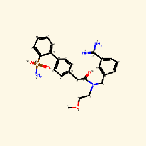 COCCN(Cc1cccc(C(=N)N)c1)C(=O)Cc1ccc(-c2ccccc2S(N)(=O)=O)cc1